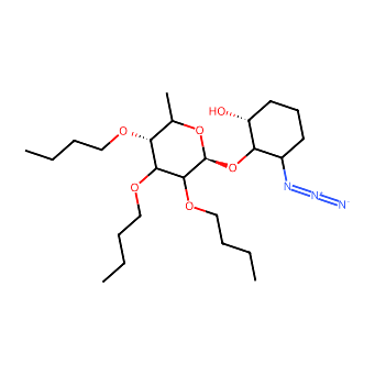 CCCCOC1C(OCCCC)[C@H](OCCCC)C(C)O[C@H]1OC1C(N=[N+]=[N-])CCC[C@H]1O